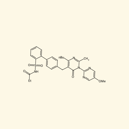 CCCCc1nc(C)n(-c2ncc(OC)cn2)c(=O)c1Cc1ccc(-c2ccccc2S(=O)(=O)NC(=O)CC)cc1